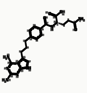 NC(=O)CC[C@H](NC(=O)c1ccc(CCCc2c[nH]c3nc(N)nc(N)c23)cc1)C(=O)O